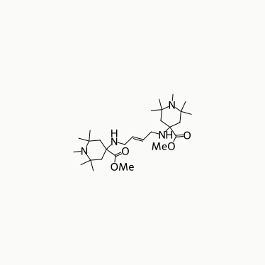 COC(=O)C1(NCC=CCNC2(C(=O)OC)CC(C)(C)N(C)C(C)(C)C2)CC(C)(C)N(C)C(C)(C)C1